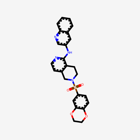 O=S(=O)(c1ccc2c(c1)OCCO2)N1CCc2c(ccnc2Nc2cnc3ccccc3c2)C1